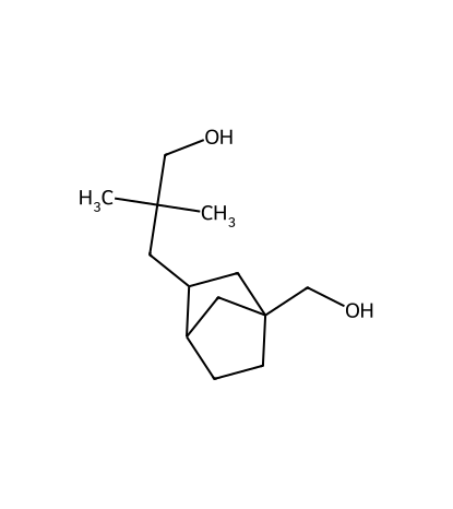 CC(C)(CO)CC1CC2(CO)CCC1C2